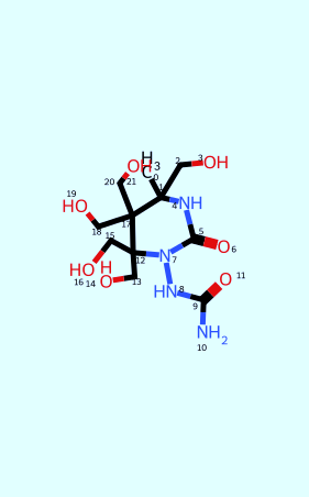 CC1(CO)NC(=O)N(NC(N)=O)C(CO)(CO)C1(CO)CO